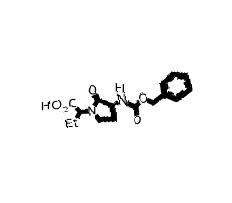 CCC(C(=O)O)N1CC[C@H](NC(=O)OCc2ccccc2)C1=O